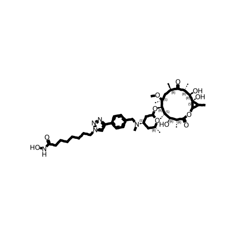 CO[C@@]1(C)C[C@@H](C)C(=O)[C@H](C)[C@@H](O)[C@@]2(O)C(C)C2OC(=O)[C@H](C)[C@H](O)[C@H](C)[C@H]1OC1C[C@@H](N(C)Cc2ccc(-c3cn(CCCCCCCC(=O)NO)nn3)cc2)C[C@@H](C)O1